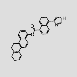 O=C(Oc1cccc2c3c(ccc12)C1=C(CCC=C1)CC3)c1cccc2c(-c3c[nH]cn3)cccc12